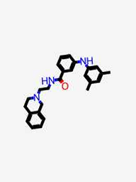 Cc1cc(C)cc(Nc2cccc(C(=O)NCCN3CCc4ccccc4C3)c2)c1